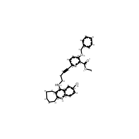 COC(=O)c1nc(C#CCCNc2c3c(nc4ccc(Cl)cc24)CCCCC3)ccc1OCc1ccccc1